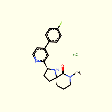 CN1CCC[C@@]2(CC[C@@H](c3cc(-c4ccc(F)cc4)ccn3)N2)C1=O.Cl